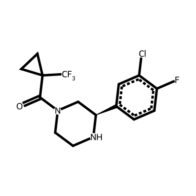 O=C(N1CCN[C@H](c2ccc(F)c(Cl)c2)C1)C1(C(F)(F)F)CC1